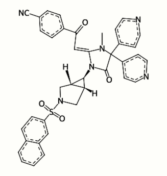 CN1C(=CC(=O)c2ccc(C#N)cc2)N([C@H]2[C@@H]3CN(S(=O)(=O)c4ccc5ccccc5c4)C[C@@H]32)C(=O)C1(c1ccncc1)c1ccncc1